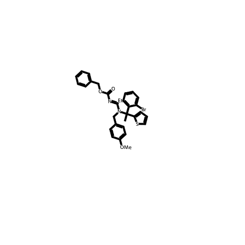 CC/C(=N\C(=O)OCc1ccccc1)N(Cc1ccc(OC)cc1)C(C)(c1cccs1)c1ccccc1Br